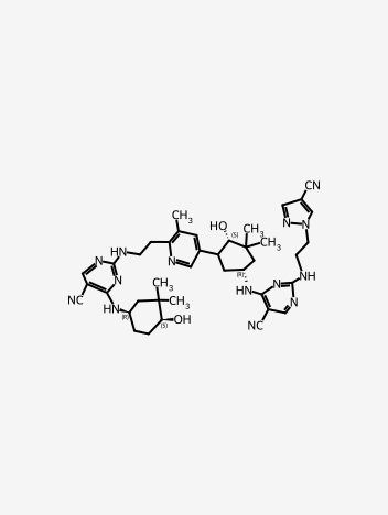 Cc1cc(C2C[C@@H](Nc3nc(NCCn4cc(C#N)cn4)ncc3C#N)CC(C)(C)[C@H]2O)cnc1CCNc1ncc(C#N)c(N[C@@H]2CC[C@H](O)C(C)(C)C2)n1